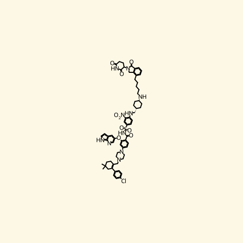 CC1(C)CCC(CN2CCN(c3ccc(C(=O)NS(=O)(=O)c4ccc(NC[C@H]5CC[C@@H](NCCCCCc6cccc7c6CN(C6CCC(=O)NC6=O)C7=O)CC5)c([N+](=O)[O-])c4)c(Oc4cnc5[nH]ccc5c4)c3)CC2)=C(c2ccc(Cl)cc2)C1